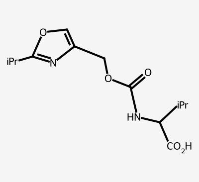 CC(C)c1nc(COC(=O)NC(C(=O)O)C(C)C)co1